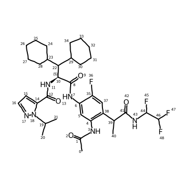 CC(=O)Nc1cc(NC(=O)[C@@H](NC(=O)c2ccnn2C(C)C)C(C2CCCCC2)C2CCCCC2)c(F)cc1C(C)C(=O)NC(F)C(F)F